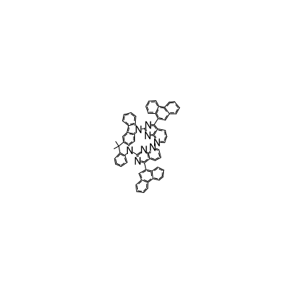 CC1(C)c2ccccc2N(c2nc(-c3cc4ccccc4c4ccccc34)c3cccnc3n2)c2cc3c(cc21)c1ccccc1n3-c1nc(-c2cc3ccccc3c3ccccc23)c2cccnc2n1